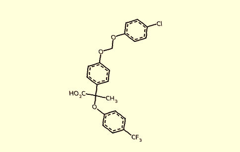 CC(Oc1ccc(C(F)(F)F)cc1)(C(=O)O)c1ccc(OCOc2ccc(Cl)cc2)cc1